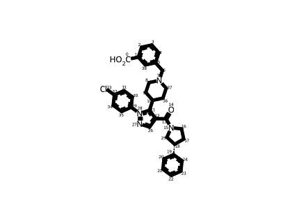 O=C(O)c1cccc(CN2CCC(c3c(C(=O)N4CC[C@H](c5ccccc5)C4)cnn3-c3ccc(Cl)cc3)CC2)c1